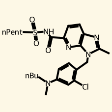 CCCCCS(=O)(=O)NC(=O)c1ccc2nc(C)n(Cc3ccc(N(C)CCCC)cc3Cl)c2n1